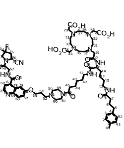 Cc1ccc(CCCC(=O)NCCCCC(NC(=O)CN2CCN(CC(=O)O)CCN(CC(=O)O)CCN(CC(=O)O)CC2)C(=O)NCCCCCC(=O)N2CCN(CCCOc3ccc4nccc(C(=O)NCC(=O)N5CC(F)(F)C[C@@H]5C#N)c4c3)CC2)cc1